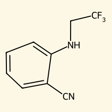 N#Cc1ccccc1NCC(F)(F)F